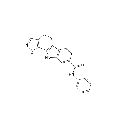 O=C(Nc1ccccc1)c1ccc2c3c([nH]c2c1)-c1[nH]ncc1CC3